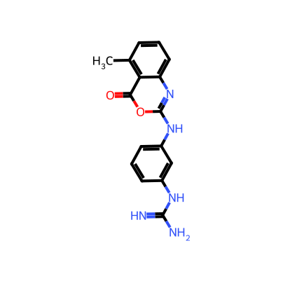 Cc1cccc2nc(Nc3cccc(NC(=N)N)c3)oc(=O)c12